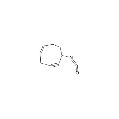 O=C=NC1C#CC/C=C\CC1